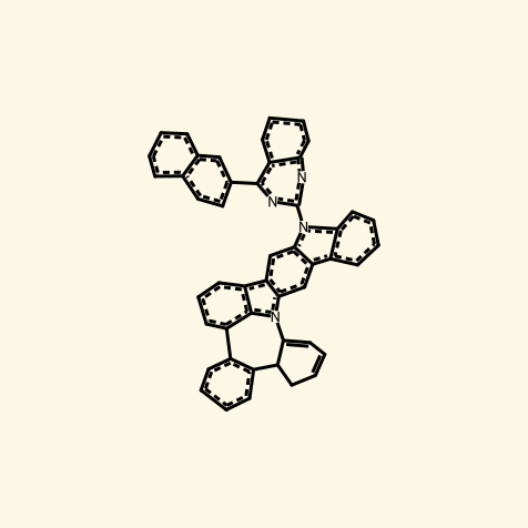 C1=CCC2C(=C1)n1c3cc4c5ccccc5n(-c5nc(-c6ccc7ccccc7c6)c6ccccc6n5)c4cc3c3cccc(c31)-c1ccccc12